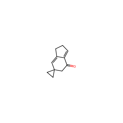 O=C1CC2(C=C3CCC=C13)CC2